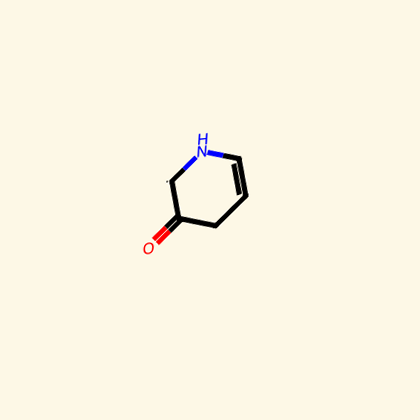 O=C1[CH]NC=CC1